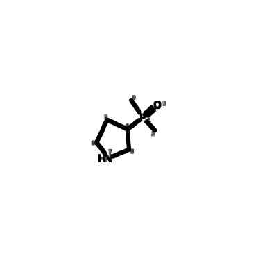 CP(C)(=O)C1CCNC1